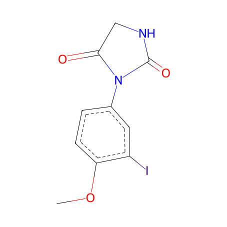 COc1ccc(N2C(=O)CNC2=O)cc1I